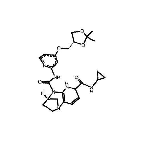 CC1(C)OC[C@@H](COc2ccnc(NC(=O)N3C4=C(C=CC(C(=O)NC5CC5)N4)N4CC[C@H]3C4)c2)O1